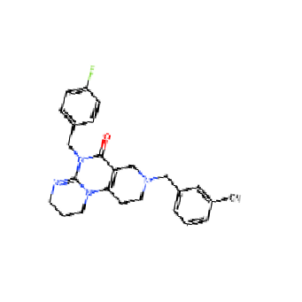 N#Cc1cccc(CN2CCC3=C(C2)C(=O)N(Cc2ccc(F)cc2)C2=NCCCN23)c1